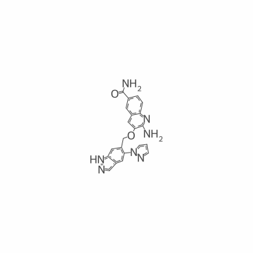 NC(=O)c1ccc2nc(N)c(OCc3cc4[nH]ncc4cc3-n3cccn3)cc2c1